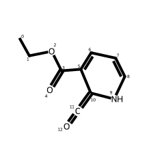 CCOC(=O)C1=CC=CNC1=C=O